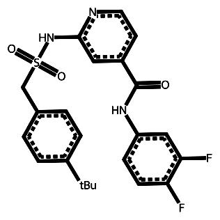 CC(C)(C)c1ccc(CS(=O)(=O)Nc2cc(C(=O)Nc3ccc(F)c(F)c3)ccn2)cc1